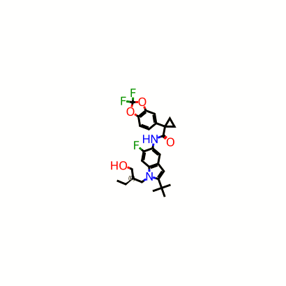 CC[C@@H](CO)Cn1c(C(C)(C)C)cc2cc(NC(=O)C3(c4ccc5c(c4)OC(F)(F)O5)CC3)c(F)cc21